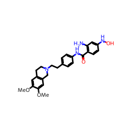 COc1cc2c(cc1OC)CN(CCc1ccc(NC(=O)c3ccc(NO)cc3N)cc1)CC2